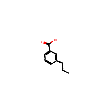 CCCc1c[c]cc(C(=O)O)c1